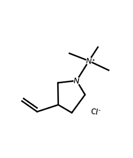 C=CC1CCN([N+](C)(C)C)C1.[Cl-]